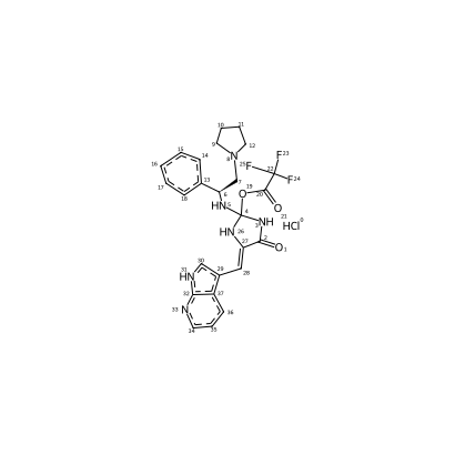 Cl.O=C1NC(N[C@H](CN2CCCC2)c2ccccc2)(OC(=O)C(F)(F)F)NC1=Cc1c[nH]c2ncccc12